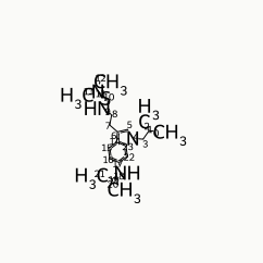 CC(C)Cn1cc(CCNSN(C)C)c2ccc(NC(C)C)cc21